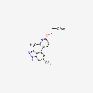 COCCOc1ccc(-c2cc(C(F)(F)F)cc3[nH]ncc23)c(C)n1